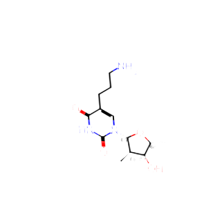 C[C@@H]1[C@H](O)[C@@H](C)O[C@H]1n1cc(CCCN)c(=O)[nH]c1=O